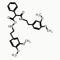 COc1ccc(CCNOC(=O)C(C(=O)NCCc2ccc(OC)c(OC)c2)c2ccccc2)cc1OC